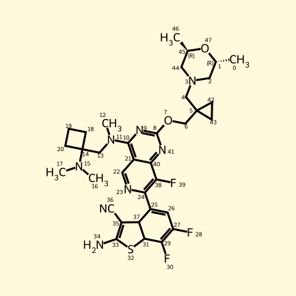 C[C@@H]1CN(CC2(COc3nc(N(C)CC4(N(C)C)CCC4)c4cnc(C5=CC(F)=C(F)C6SC(N)=C(C#N)C56)c(F)c4n3)CC2)C[C@@H](C)O1